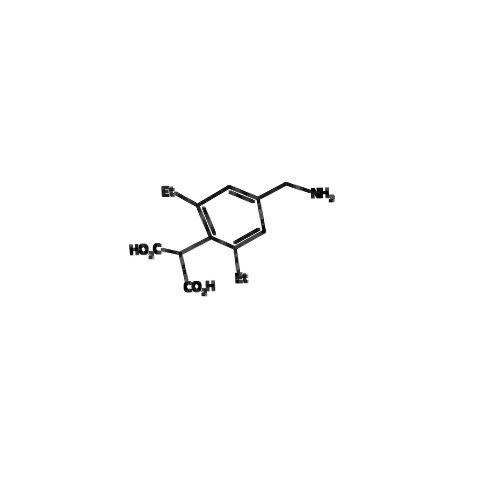 CCc1cc(CN)cc(CC)c1C(C(=O)O)C(=O)O